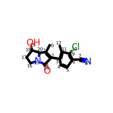 CC1=C(c2ccc(C#N)c(Cl)c2C)C(=O)N2CCC(O)C12